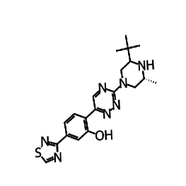 C[C@@H]1CN(c2ncc(-c3ccc(-c4ncsn4)cc3O)nn2)CC(C(C)(C)C)N1